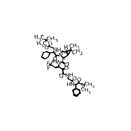 CN(C)C(=O)[C@@H](NC(=O)CNC(=O)C(=O)C(CC(F)(F)F)NC(=O)[C@@H]1C2[C@H](CN1C(=O)[C@@H](NC(=O)OC(C)(C)C)C1CCCCC1)C2(C)C)c1ccccc1